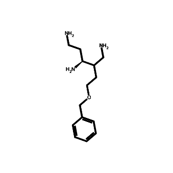 NCC[C@H](N)C(CN)CCOCc1ccccc1